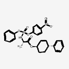 C[C@H](NP(=O)(Oc1ccccc1)Oc1ccc([N+](=O)[O-])cc1)C(=O)O[C@H]1CC[C@H](c2ccccc2)CC1